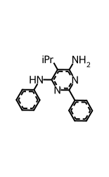 CC(C)c1c(N)nc(-c2ccccc2)nc1Nc1ccccc1